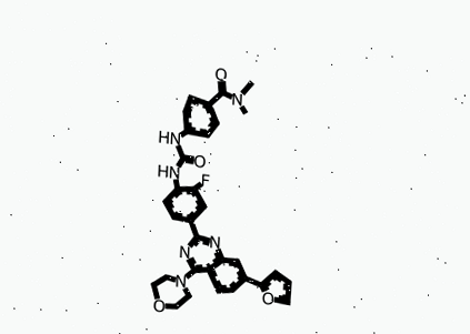 CN(C)C(=O)c1ccc(NC(=O)Nc2ccc(-c3nc(N4CCOCC4)c4ccc(-c5ccco5)cc4n3)cc2F)cc1